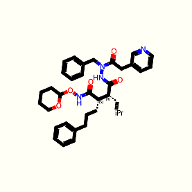 CC(C)C[C@@H](C(=O)NN(Cc1ccccc1)C(=O)Cc1cccnc1)[C@H](CCCc1ccccc1)C(=O)NOC1CCCCO1